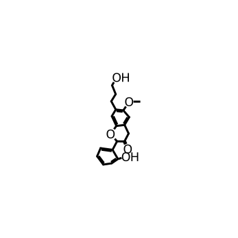 COc1cc2c(cc1CCCO)OC(c1ccccc1O)C(=O)C2